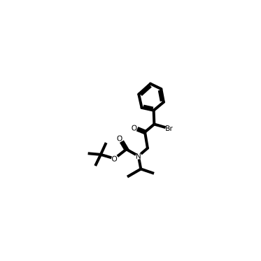 CC(C)N(CC(=O)C(Br)c1ccccc1)C(=O)OC(C)(C)C